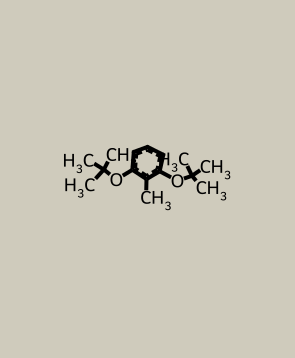 Cc1c(OC(C)(C)C)cccc1OC(C)(C)C